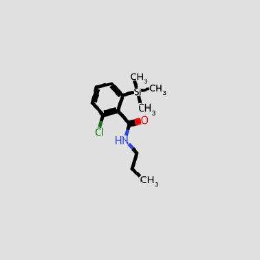 CCCNC(=O)c1c(Cl)cccc1[Si](C)(C)C